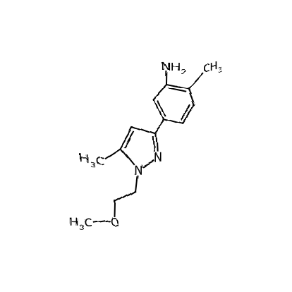 COCCn1nc(-c2ccc(C)c(N)c2)cc1C